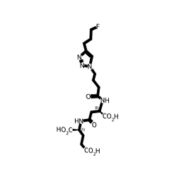 O=C(O)CC[C@H](NC(=O)C[C@@H](NC(=O)CCCn1cc(CCCF)nn1)C(=O)O)C(=O)O